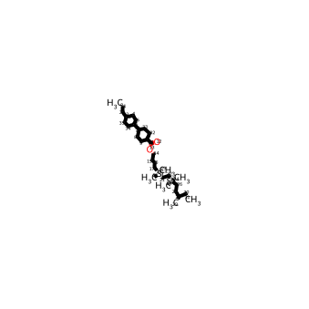 CCCC1CCC(C2CCC(C(=O)OCCCC[Si](C)(C)CC[Si](C)(C)CCC(C)CC)CC2)CC1